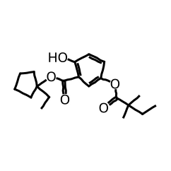 CCC1(OC(=O)c2cc(OC(=O)C(C)(C)CC)ccc2O)CCCC1